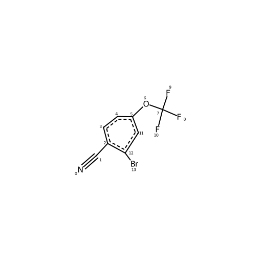 N#Cc1ccc(OC(F)(F)F)cc1Br